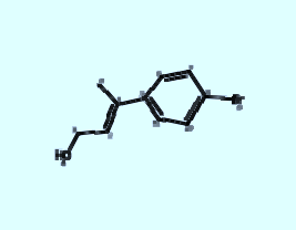 CC(=CCO)c1ccc(Br)cc1